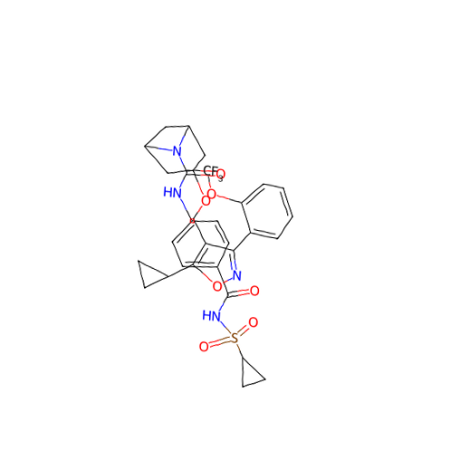 O=C(NS(=O)(=O)C1CC1)c1ccc(NC(=O)N2C3CC(OCc4c(-c5ccccc5OC(F)(F)F)noc4C4CC4)CC2C3)cc1